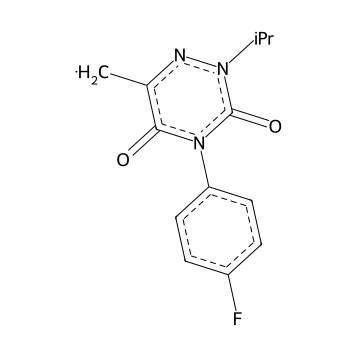 [CH2]c1nn(C(C)C)c(=O)n(-c2ccc(F)cc2)c1=O